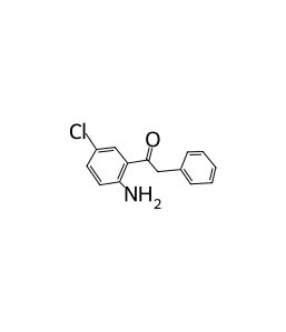 Nc1ccc(Cl)cc1C(=O)Cc1ccccc1